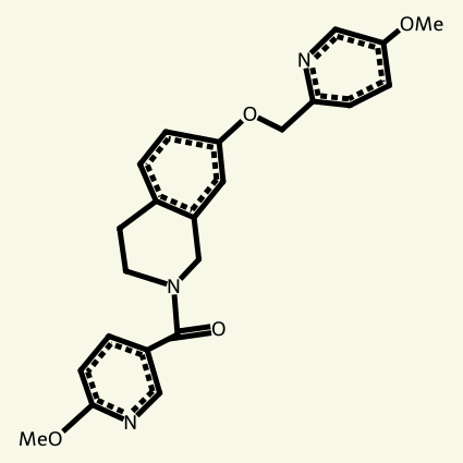 COc1ccc(COc2ccc3c(c2)CN(C(=O)c2ccc(OC)nc2)CC3)nc1